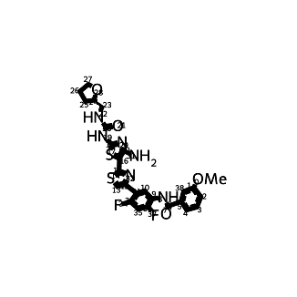 COc1cccc(C(=O)Nc2cc(-c3csc(-c4sc(NC(=O)NC[C@H]5CCCO5)nc4N)n3)c(F)cc2F)c1